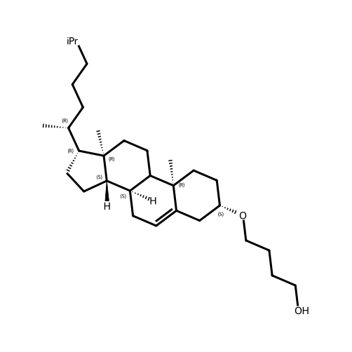 CC(C)CCC[C@@H](C)[C@H]1CC[C@H]2[C@@H]3CC=C4C[C@@H](OCCCCO)CC[C@]4(C)C3CC[C@]12C